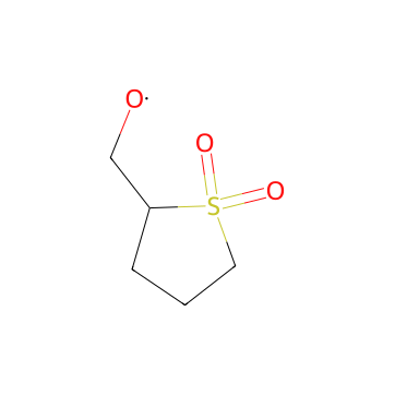 [O]CC1CCCS1(=O)=O